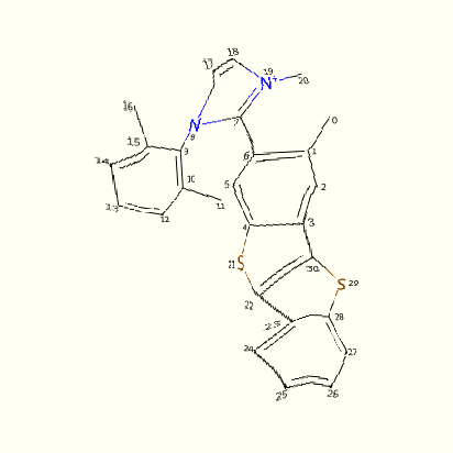 Cc1cc2c(cc1-c1n(-c3c(C)cccc3C)cc[n+]1C)sc1c3ccccc3sc21